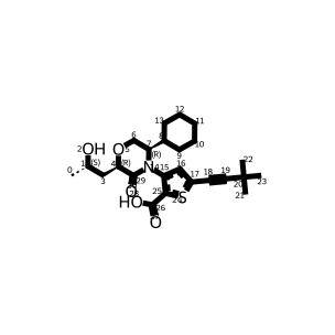 C[C@H](O)C[C@H]1OC[C@@H](C2CCCCC2)N(c2cc(C#CC(C)(C)C)sc2C(=O)O)C1=O